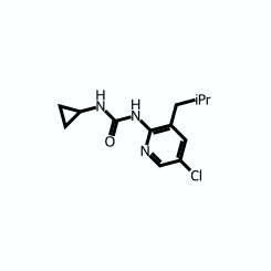 CC(C)Cc1cc(Cl)cnc1NC(=O)NC1CC1